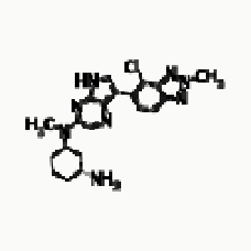 CN(c1cnc2c(-c3ccc4nn(C)nc4c3Cl)c[nH]c2n1)[C@@H]1CCC[C@@H](N)C1